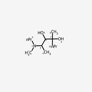 CCCN(C)C(C)C(O)C(C)(O)CCC